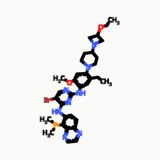 CCOC1CN(C2CCN(c3cc(OC)c(Nc4ncc(Br)c(Nc5ccc6nccnc6c5P(C)C)n4)cc3CC)CC2)C1